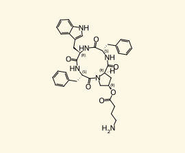 NCCCC(=O)O[C@@H]1C[C@@H]2C(=O)N[C@@H](Cc3ccccc3)C(=O)N[C@H](Cc3c[nH]c4ccccc34)C(=O)N[C@@H](Cc3ccccc3)C(=O)N2C1